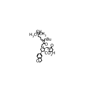 CCCCN(CCC[N+](C)(C)C)C(=O)CN1C[C@H](c2ccc3c(c2)CCO3)[C@@H](C(=O)O)[C@@H]1CN1CCCC1=O